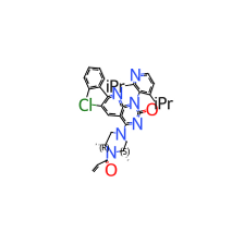 C=CC(=O)N1[C@H](C)CN(c2nc(=O)n(-c3c(C(C)C)ccnc3C(C)C)c3nc(-c4ccccc4C)c(Cl)cc23)C[C@@H]1C